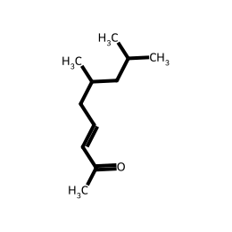 CC(=O)/C=C/CC(C)CC(C)C